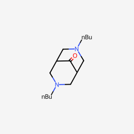 CCCCN1CC2CN(CCCC)CC(C1)C2=O